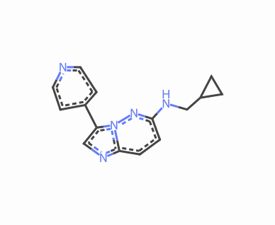 c1cc(-c2cnc3ccc(NCC4CC4)nn23)ccn1